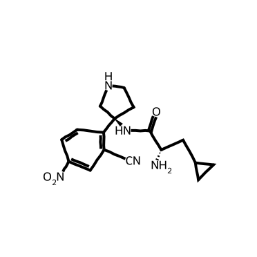 N#Cc1cc([N+](=O)[O-])ccc1[C@@]1(NC(=O)[C@@H](N)CC2CC2)CCNC1